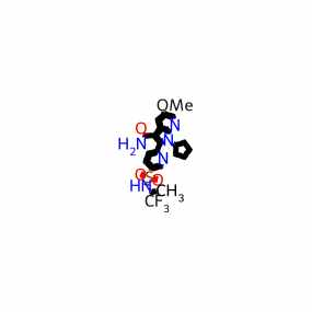 COc1cnc2c(c1)c(C(N)=O)c(-c1ccc(S(=O)(=O)N[C@@H](C)C(F)(F)F)cn1)n2C1CCCC1